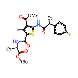 CCC(C(=O)Nc1sc(C(=O)N[C@@H](C(=O)OC(C)(C)C)C(C)C)c(C)c1C(=O)OC)c1ccc(F)cc1